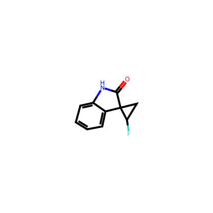 O=C1Nc2ccccc2C12CC2F